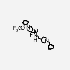 O=C(NCCC1CCN(Cc2ccccc2)CC1)C1(F)CCN(c2ccccc2OC(F)(F)F)CC1